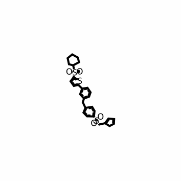 O=S(=O)(CC1=CC=CC1)c1ccc(Cc2cccc(-c3ccc(S(=O)(=O)C4CCCCC4)s3)c2)cc1